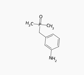 CP(C)(=O)Cc1cccc(N)c1